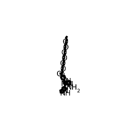 CCCOCCOCCOCCOCCOCCOCCC(=O)N1CCC(n2nc(-c3cnc4[nH]ccc4c3)c3c(N)ncnc32)CC1